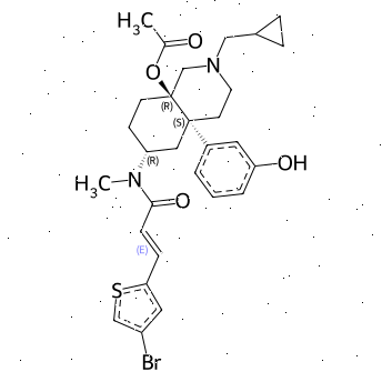 CC(=O)O[C@]12CC[C@@H](N(C)C(=O)/C=C/c3cc(Br)cs3)C[C@]1(c1cccc(O)c1)CCN(CC1CC1)C2